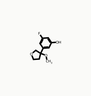 COC1(c2cc(O)cc(F)c2)CCOC1